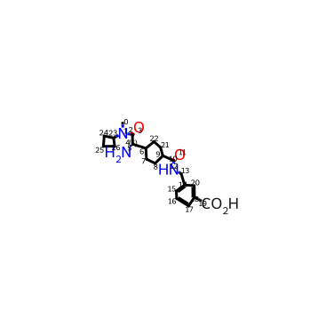 CN(C(=O)[C@@H](N)C1CCC(C(=O)NCc2cccc(C(=O)O)c2)CC1)C1CCC1